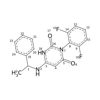 CC(Nc1cc(=O)n(-c2c(F)cccc2F)c(=O)[nH]1)c1ccccc1